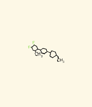 C=CC1CCC(C2CCC(C3CC(F)C(F)CC3C)CC2)CC1